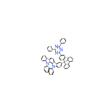 c1ccc(-c2nc(-c3ccccc3)nc(-c3ccc(C4(c5ccc6c(c5)c5ccc7c8ccccc8n(-c8ccccc8)c7c5n6-c5ccccc5)c5ccccc5-c5ccccc54)cc3)n2)cc1